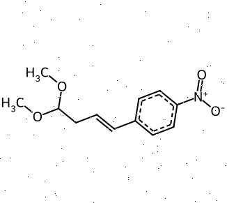 COC(C/C=C/c1ccc([N+](=O)[O-])cc1)OC